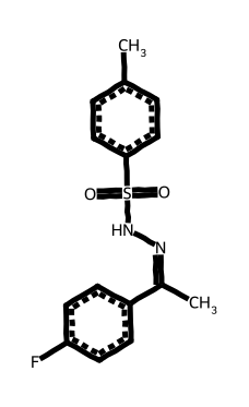 CC(=NNS(=O)(=O)c1ccc(C)cc1)c1ccc(F)cc1